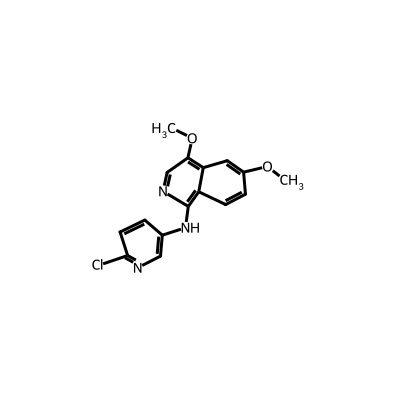 COc1ccc2c(Nc3ccc(Cl)nc3)ncc(OC)c2c1